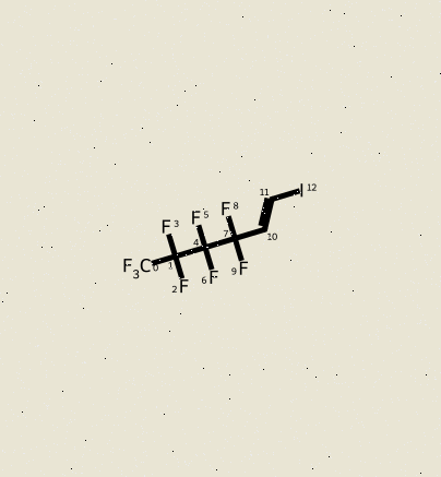 FC(F)(F)C(F)(F)C(F)(F)C(F)(F)C=CI